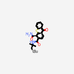 CC(C)(C)CC(C)(C)NC(=O)c1ccc2c(=O)c3ccccc3sc2c1C(N)=O